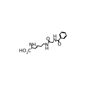 N[C@@H](CCCCNC(=O)CNC(=O)c1ccccc1)C(=O)O